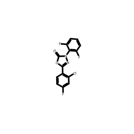 O=c1oc(-c2ccc(F)cc2Cl)nn1-c1c(F)cccc1F